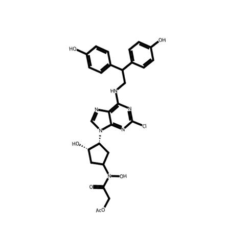 CC(=O)OCC(=O)N(O)C1C[C@@H](n2cnc3c(NCC(c4ccc(O)cc4)c4ccc(O)cc4)nc(Cl)nc32)[C@@H](O)C1